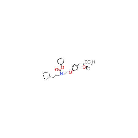 CCOC(Cc1ccc(OCCN(CCCC2CCCCC2)C(=O)OC2CCCCC2)cc1)C(=O)O